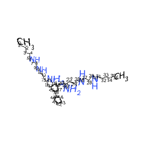 CCCCCCNCCCNCCCC(N)Cc1cc(CC(N)CCCNCCCNCCCCCC)cc(-c2ccccc2)c1